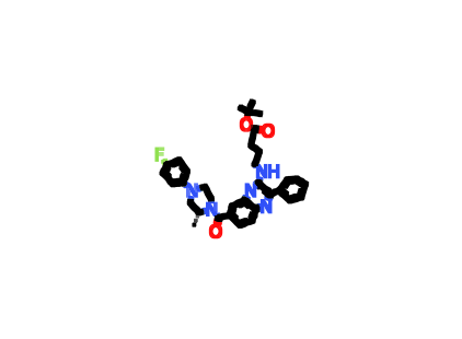 C[C@@H]1CN(c2ccc(F)cc2)CCN1C(=O)c1ccc2nc(-c3ccccc3)c(NCCCC(=O)OC(C)(C)C)nc2c1